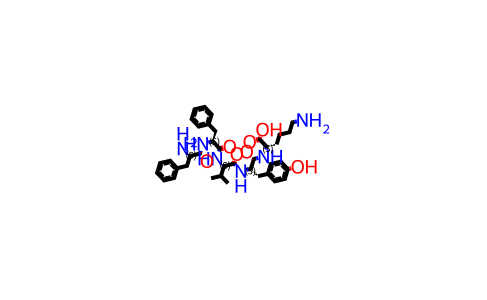 CC(C)[C@H](NC(=O)[C@H](Cc1ccccc1)NC(=O)[C@@H](N)Cc1ccccc1)C(=O)N[C@@H](Cc1ccc(O)cc1)C(=O)N[C@@H](CCCCN)C(=O)O